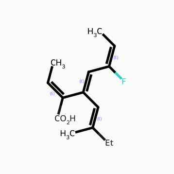 C\C=C(F)/C=C(\C=C(/C)CC)C(=C\C)/C(=O)O